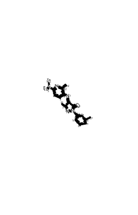 CCN(CC)c1ccc(N=C2C(=O)N(c3cccc(C)c3)N=C2C)c(C)n1